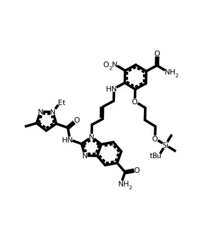 CCn1nc(C)cc1C(=O)Nc1nc2cc(C(N)=O)ccc2n1CC=CCNc1c(OCCCO[Si](C)(C)C(C)(C)C)cc(C(N)=O)cc1[N+](=O)[O-]